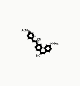 CC(=O)Nc1ccc(C=C(C#N)c2ccc(C(C#N)=Cc3ccc(NC(C)=O)cc3)cc2)cc1